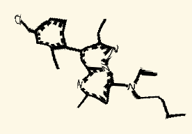 CCCCN(CC)c1cc(C)nc2c(-c3ccc(Cl)cc3C)c(C)nn12